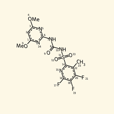 COc1cc(OC)nc(NC(=O)NS(=O)(=O)c2nc(F)c(F)c(F)c2C)n1